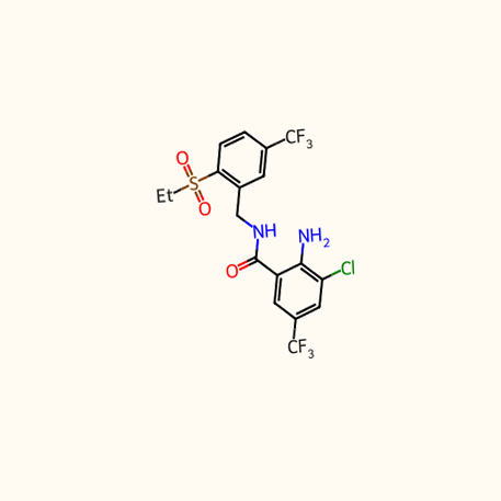 CCS(=O)(=O)c1ccc(C(F)(F)F)cc1CNC(=O)c1cc(C(F)(F)F)cc(Cl)c1N